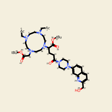 CC(=O)CN1CCN(CC(C)=O)CCN(C(CCC(=O)N2CCN(c3ccc4ccc(CO)nc4c3)CC2)C(=O)OC(C)(C)C)CCN(CC(=O)OC(C)(C)C)CC1